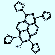 Oc1c(-c2cccs2)c2ccc3c(-c4cccs4)cc(-c4cccs4)c4ccc(c1-c1cccs1)c2c34